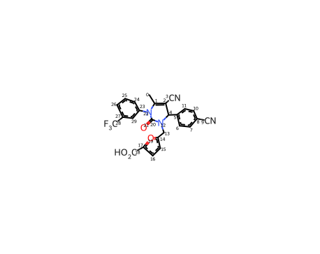 CC1=C(C#N)C(c2ccc(C#N)cc2)N(Cc2ccc(C(=O)O)o2)C(=O)N1c1cccc(C(F)(F)F)c1